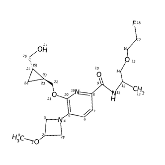 COC1CN(c2ccc(C(=O)NC(C)COCCF)nc2OC[C@H]2C[C@@H]2CO)C1